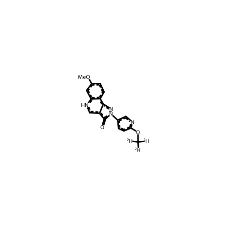 [2H]C([2H])([2H])Oc1ccc(-n2nc3c4ccc(OC)cc4[nH]cc-3c2=O)cn1